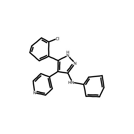 Clc1ccccc1-c1[nH]nc(Nc2ccccc2)c1-c1ccncc1